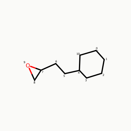 [CH]1CCCC(CCC2CO2)C1